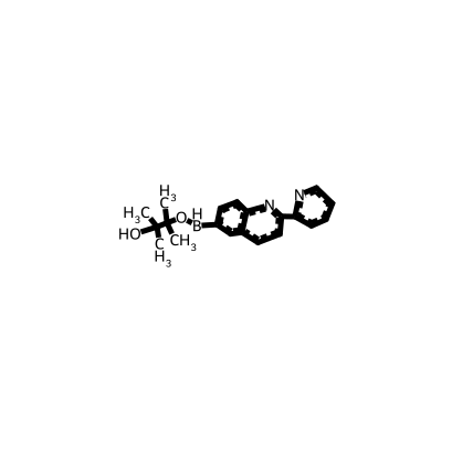 CC(C)(O)C(C)(C)OBc1ccc2nc(-c3ccccn3)ccc2c1